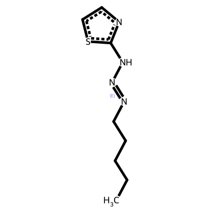 CCCCC/N=N/Nc1nccs1